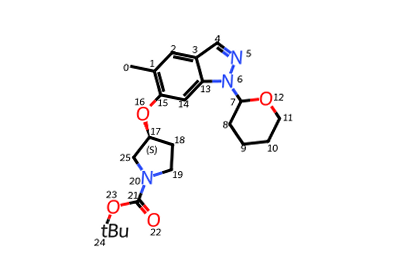 Cc1cc2cnn(C3CCCCO3)c2cc1O[C@H]1CCN(C(=O)OC(C)(C)C)C1